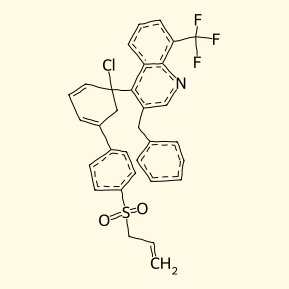 C=CCS(=O)(=O)c1ccc(C2=CC=CC(Cl)(c3c(Cc4ccccc4)cnc4c(C(F)(F)F)cccc34)C2)cc1